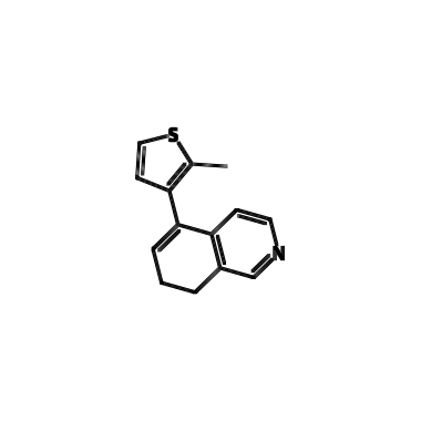 Cc1sccc1C1=CCCc2cnccc21